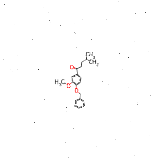 COc1cc(C(=O)CCC(C)C)ccc1OCc1ccccc1